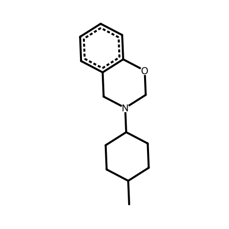 CC1CCC(N2COc3ccccc3C2)CC1